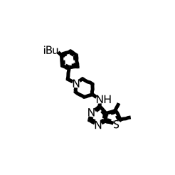 CCC(C)c1cccc(CN2CCC(Nc3ncnc4sc(C)c(C)c34)CC2)c1